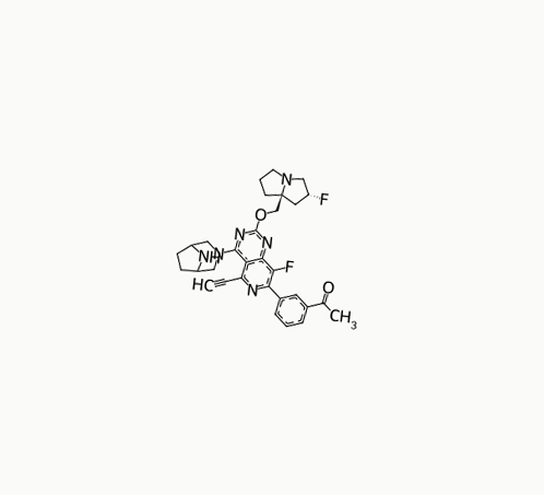 C#Cc1nc(-c2cccc(C(C)=O)c2)c(F)c2nc(OC[C@@]34CCCN3C[C@H](F)C4)nc(N3CC4CCC(C3)N4)c12